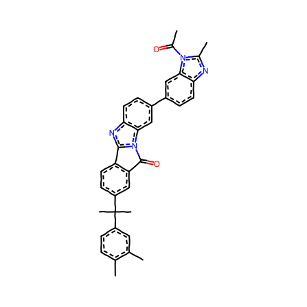 CC(=O)n1c(C)nc2ccc(-c3ccc4nc5n(c4c3)C(=O)c3cc(C(C)(C)c4ccc(C)c(C)c4)ccc3-5)cc21